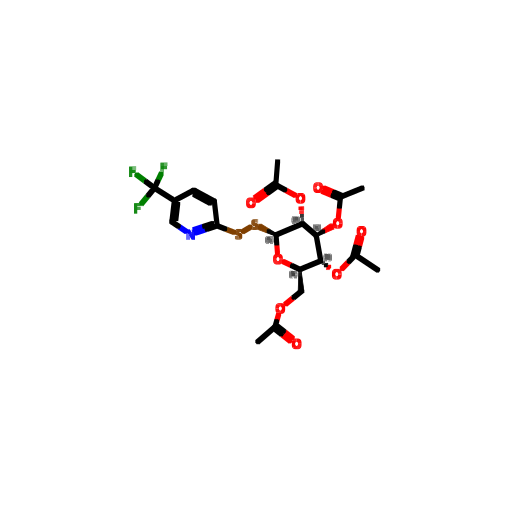 CC(=O)OC[C@H]1O[C@@H](SSc2ccc(C(F)(F)F)cn2)[C@H](OC(C)=O)[C@@H](OC(C)=O)[C@@H]1OC(C)=O